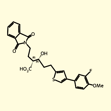 COc1ccc(-c2csc(CC[C@@H](O)[C@@H](CCN3C(=O)c4ccccc4C3=O)C(=O)O)c2)cc1F